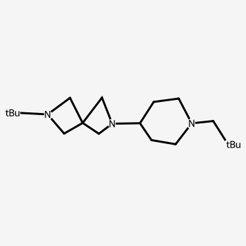 CC(C)(C)CN1CCC(N2CC3(C2)CN(C(C)(C)C)C3)CC1